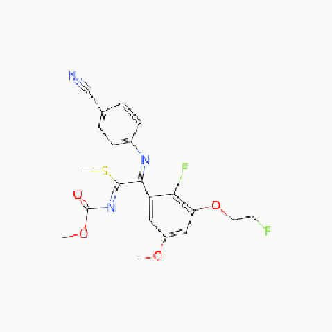 COC(=O)N=C(SC)C(=Nc1ccc(C#N)cc1)c1cc(OC)cc(OCCF)c1F